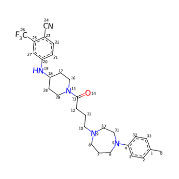 Cc1ccc(N2CCCN(CCCC(=O)N3CCC(Nc4ccc(C#N)c(C(F)(F)F)c4)CC3)CC2)cc1